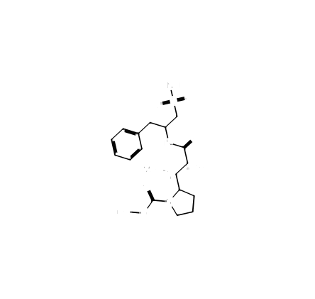 CO[C@@H](C1CCCN1C(=O)OC(C)(C)C)[C@@H](C)C(=O)NC(Cc1ccccc1)CS(N)(=O)=O